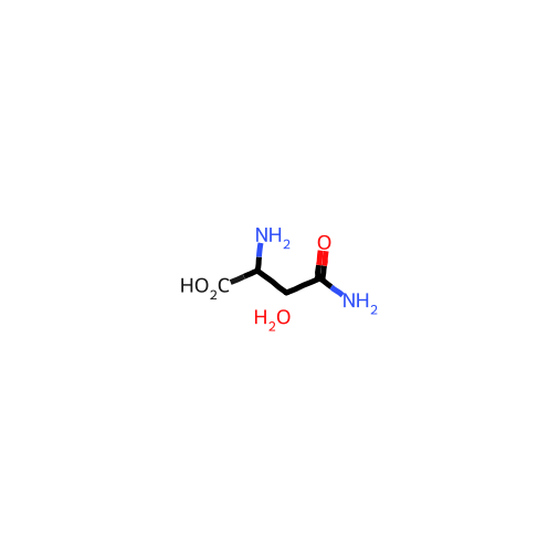 NC(=O)CC(N)C(=O)O.O